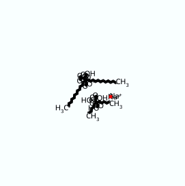 CCCCCCC(CCCCCC)(C(=O)O)C(C(=O)O)S(=O)(=O)O.CCCCCCCCCCCCCC(CCCCCCCCCCCCC)(C(=O)[O-])C(C(=O)[O-])S(=O)(=O)O.[Na+].[Na+]